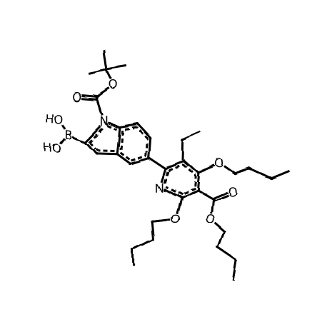 CCCCOC(=O)c1c(OCCCC)nc(-c2ccc3c(c2)cc(B(O)O)n3C(=O)OC(C)(C)C)c(CC)c1OCCCC